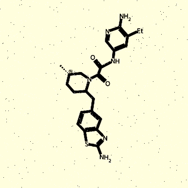 CCc1cc(NC(=O)C(=O)N2C[C@@H](C)CCC2Cc2ccc3sc(N)nc3c2)cnc1N